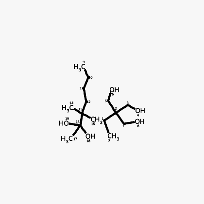 CCC(CO)(CO)CO.CCCCC(C)(C)C(C)(O)O